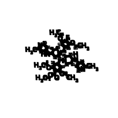 CCOC(=O)c1c(OCC)cc(CN2CCC(Nc3ccnc(C)c3)CC2)cc1OCC.CCOc1cc(CN2CCC(Nc3ccnc(C)c3)CC2)cc(OCC)c1F